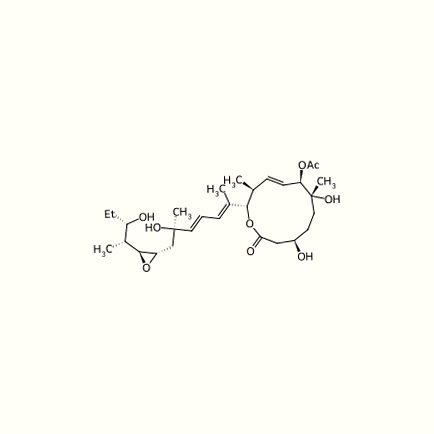 CC[C@H](O)[C@@H](C)[C@@H]1O[C@H]1C[C@@](C)(O)/C=C/C=C(\C)[C@H]1OC(=O)C[C@H](O)CC[C@@](C)(O)[C@H](OC(C)=O)/C=C/[C@@H]1C